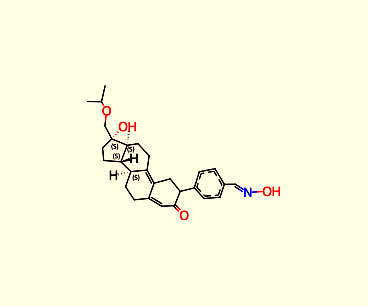 CC(C)OC[C@]1(O)CC[C@H]2[C@@H]3CCC4=CC(=O)C(c5ccc(C=NO)cc5)CC4=C3CC[C@@]21C